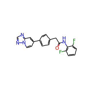 O=C(Cc1ccc(-c2ccn3ncnc3c2)cc1)Nc1c(F)cccc1F